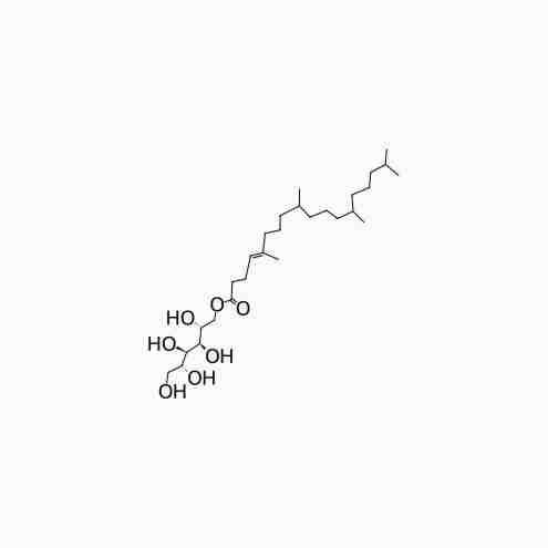 C/C(=C\CCC(=O)OC[C@@H](O)[C@@H](O)[C@H](O)[C@H](O)CO)CCCC(C)CCCC(C)CCCC(C)C